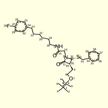 CC(C)(C)[Si](C)(C)OCC[C@H]1C(=O)N(CC(=O)NCCCCCCc2ccc(F)cc2)[C@@H]1SCc1ccccc1